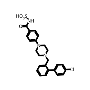 O=C(NS(=O)(=O)O)c1ccc(N2CCN(Cc3ccccc3-c3ccc(Cl)cc3)CC2)cc1